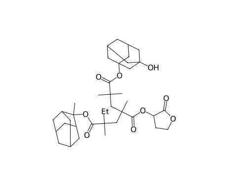 CCC(C)(CC(C)(CC(C)(C)C(=O)OC12CC3CC(CC(O)(C3)C1)C2)C(=O)OC1CCOC1=O)C(=O)OC1(C)C2CC3CC(C2)CC1C3